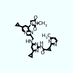 Cc1ccnc(C2CC2C(=O)Nc2nc(NCc3cn4cc(C5CC5)cc(N5CC(=O)N(C)C5=O)c4n3)cc(C3CC3)n2)n1